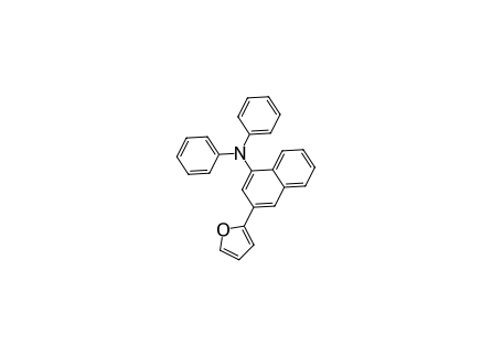 c1ccc(N(c2ccccc2)c2cc(-c3ccco3)cc3ccccc23)cc1